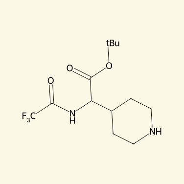 CC(C)(C)OC(=O)C(NC(=O)C(F)(F)F)C1CCNCC1